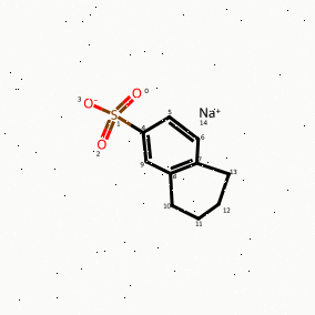 O=S(=O)([O-])c1ccc2c(c1)CCCC2.[Na+]